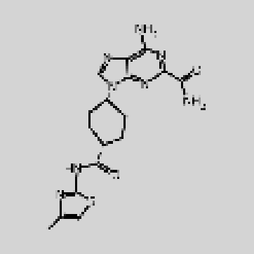 Cc1csc(NC(=O)[C@H]2CC[C@@H](n3cnc4c(N)nc(C(N)=O)nc43)CC2)n1